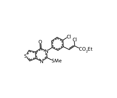 CCOC(=O)/C(Cl)=C/c1cc(-n2c(SC)nc3cscc3c2=O)ccc1Cl